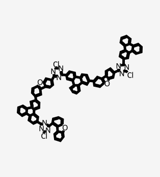 Clc1nc(-c2ccc3c(c2)oc2ccc(-c4ccc5c6ccc(-c7nc(Cl)nc(-c8ccc9c(c8)oc8ccc(-c%10ccc%11c(c%10)c%10ccccc%10c%10ccc(-c%12nc(Cl)nc(-c%13cccc%14oc%15ccccc%15c%13%14)n%12)cc%10%11)cc89)n7)cc6c6ccccc6c5c4)cc23)nc(-c2ccc3c4ccccc4c4ccccc4c3c2)n1